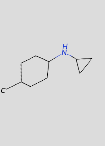 CC1CCC(NC2CC2)CC1